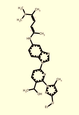 CCOc1cc(C)n(-c2nc(-n3cnc4cc(N/C(C)=C/C=C(/C)N(C)C)ccc43)ccc2C(C)O)n1